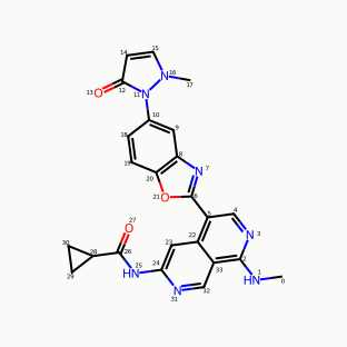 CNc1ncc(-c2nc3cc(-n4c(=O)ccn4C)ccc3o2)c2cc(NC(=O)C3CC3)ncc12